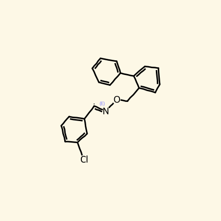 Clc1cccc(/[C]=N/OCc2ccccc2-c2ccccc2)c1